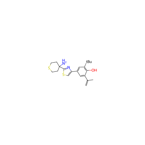 C=C(C)c1cc(-c2csc(C3(N)CCSCC3)n2)cc(C(C)(C)C)c1O